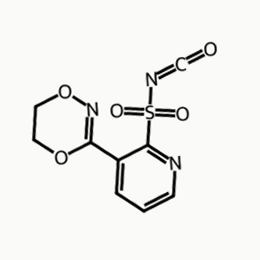 O=C=NS(=O)(=O)c1ncccc1C1=NOCCO1